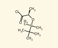 C[C@@H](O[Si](C)(C)C(C)(C)C)C(=O)Cl